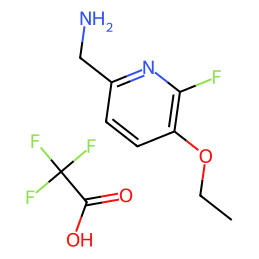 CCOc1ccc(CN)nc1F.O=C(O)C(F)(F)F